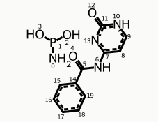 NP(O)O.O=C(Nc1cc[nH]c(=O)n1)c1ccccc1